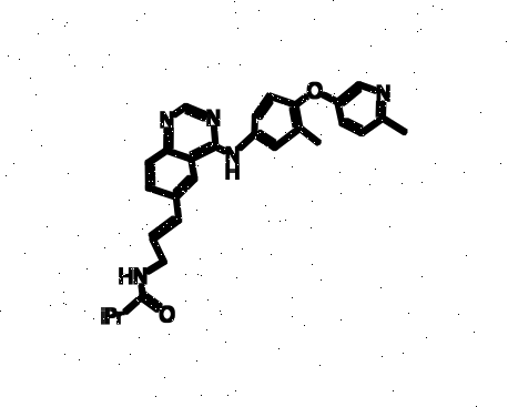 Cc1ccc(Oc2ccc(Nc3ncnc4ccc(C=CCNC(=O)C(C)C)cc34)cc2C)cn1